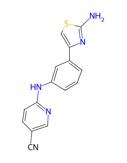 N#Cc1ccc(Nc2cccc(-c3csc(N)n3)c2)nc1